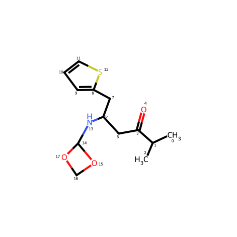 CC(C)C(=O)CC(Cc1cccs1)NC1OCO1